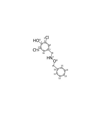 Oc1c(Cl)cc(CNOCc2ccccc2)cc1Cl